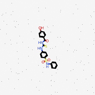 O=C(NC(=S)Nc1ccc(S(=O)(=O)Nc2ccccc2)cc1)c1ccc(O)cc1